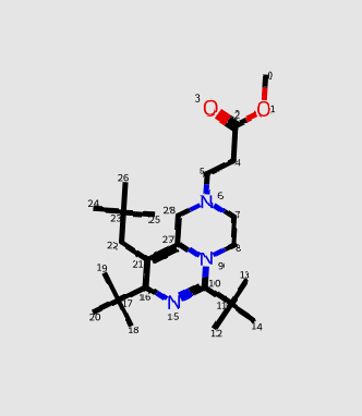 COC(=O)CCN1CCN2C(C(C)(C)C)=NC(C(C)(C)C)C(CC(C)(C)C)=C2C1